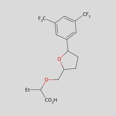 CCC(OCC1CCC(c2cc(C(F)(F)F)cc(C(F)(F)F)c2)O1)C(=O)O